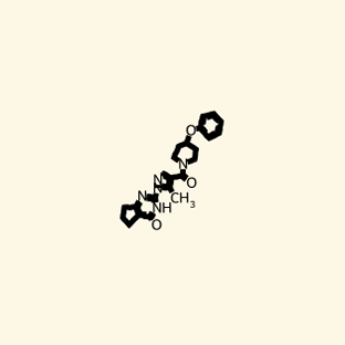 Cc1c(C(=O)N2CCC(Oc3ccccc3)CC2)cnn1-c1nc2c(c(=O)[nH]1)CCC2